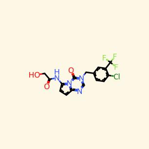 O=C(CO)Nc1ccc2ncn(Cc3ccc(Cl)c(C(F)(F)F)c3)c(=O)n12